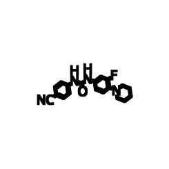 N#Cc1ccc(NC(=O)Nc2ccc(N3CCCCC3)c(F)c2)cc1